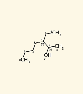 CCCC[C@H](CC)[C@@H](C)O